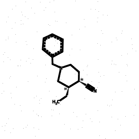 CC[C@@H]1CN(Cc2ccccc2)CC[C@@H]1C#N